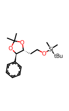 CC1(C)O[C@H](c2ccccc2)[C@@H](CCO[Si](C)(C)C(C)(C)C)O1